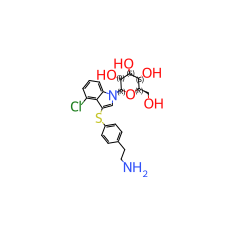 NCCc1ccc(Sc2cn([C@@H]3O[C@H](CO)[C@@H](O)[C@H](O)[C@H]3O)c3cccc(Cl)c23)cc1